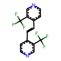 FC(F)(F)c1cnccc1C=Cc1ccncc1C(F)(F)F